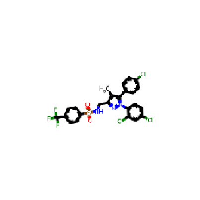 Cc1c(CNS(=O)(=O)c2ccc(C(F)(F)F)cc2)nn(-c2ccc(Cl)cc2Cl)c1-c1ccc(Cl)cc1